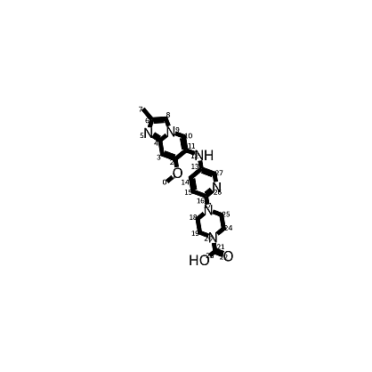 COc1cc2nc(C)cn2cc1Nc1ccc(N2CCN(C(=O)O)CC2)nc1